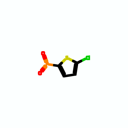 O=P(=O)c1ccc(Cl)s1